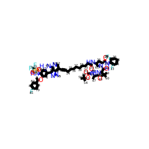 CC(Oc1cc(-c2nn(C)c3c(C#CCCCCCCCCC(=O)NC4C[C@@H](C(=O)Nc5c(F)cccc5F)N(C(=O)C(NC(=O)C(C)N(C)C(=O)OC(C)(C)C)C(C)(C)C)C4)cnc(N)c23)ccc1NS(=O)(=O)C(F)F)c1ccc(F)cc1